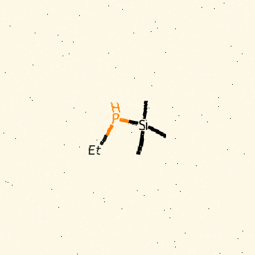 CCP[Si](C)(C)C